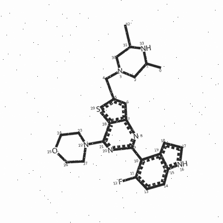 CC1CN(Cc2cc3nc(-c4c(F)ccc5[nH]ccc45)nc(N4CCOCC4)c3s2)CC(C)N1